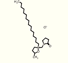 CCCCCCCCCCCCCCCC[N+]1(CN2CCCC2=O)CCC(C)O1.[Cl-]